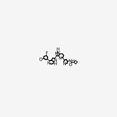 COc1cc(F)cc(-c2nccc3[nH]c(-c4n[nH]c5ccc(-c6cncc(NC(=O)C7CCC7)c6)nc45)cc23)c1